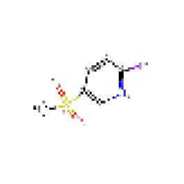 CS(=O)(=O)c1ccc(I)nc1